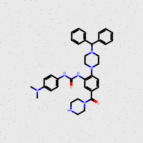 CN(C)c1ccc(NC(=O)Nc2cc(C(=O)N3CCNCC3)ccc2N2CCN(C(c3ccccc3)c3ccccc3)CC2)cc1